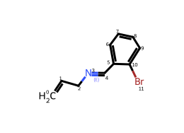 C=CC/N=C/c1ccccc1Br